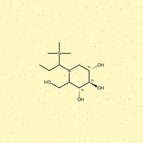 CCC(N1C[C@H](O)[C@@H](O)[C@H](O)C1CO)[Si](C)(C)C